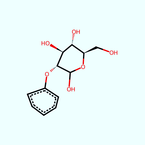 OC[C@H]1OC(O)[C@H](Oc2ccccc2)[C@@H](O)[C@@H]1O